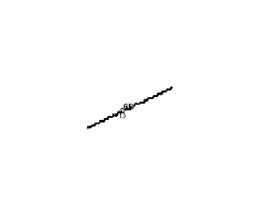 CCCCCCCCC=CCCCCCCCCOCC(O)COC(=O)CCCCCCCCCCCCCCC